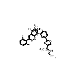 C[C@@H](NCC(F)(F)F)c1coc(-c2cncc([C@@]34CC[C@@H](c5cc(-c6c(F)cccc6F)nnc53)C4(C)C)n2)n1